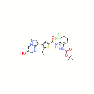 CCc1sc(C(=O)N[C@@H]2[C@H](NC(=O)OC(C)(C)C)CCCC2(F)F)cc1-c1cnn2cc(O)cnc12